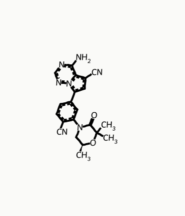 C[C@H]1CN(c2cc(-c3cc(C#N)c4c(N)ncnn34)ccc2C#N)C(=O)C(C)(C)O1